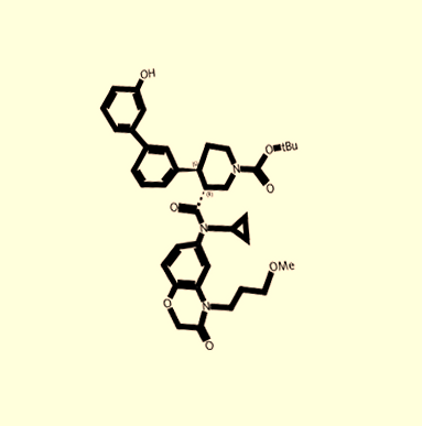 COCCCN1C(=O)COc2ccc(N(C(=O)[C@H]3CN(C(=O)OC(C)(C)C)CC[C@@H]3c3cccc(-c4cccc(O)c4)c3)C3CC3)cc21